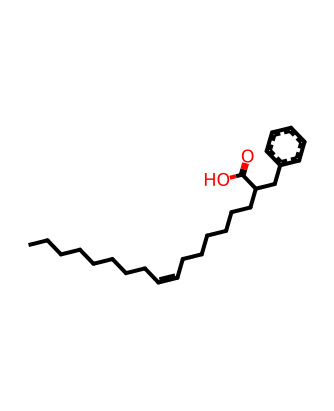 CCCCCCCC/C=C\CCCCCCC(Cc1ccccc1)C(=O)O